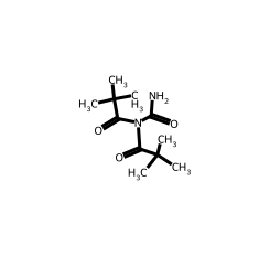 CC(C)(C)C(=O)N(C(N)=O)C(=O)C(C)(C)C